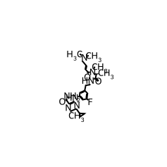 Cc1nc(C(N)=O)c(Nc2cc(F)cc(CCNC(=O)[C@H](C)N(C)C(=O)/C=C/CN(C)C)c2)nc1C1CC1